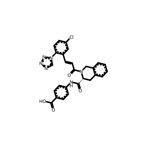 O=C(O)c1ccc(NC(=O)[C@H]2Cc3ccccc3CN2C(=O)/C=C/c2cc(Cl)ccc2-n2cnnn2)cc1